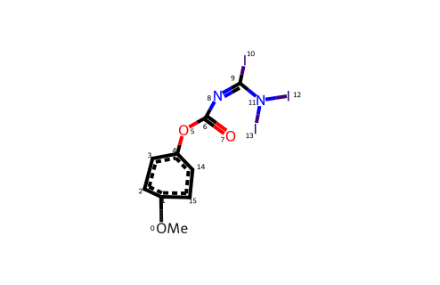 COc1ccc(OC(=O)/N=C(/I)N(I)I)cc1